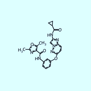 Cc1nc(C(=O)Nc2cccc(Oc3ccc4nc(NC(=O)C5CC5)cn4n3)c2)c(C)o1